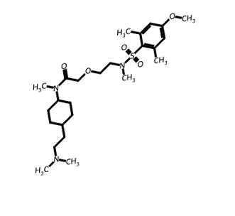 COc1cc(C)c(S(=O)(=O)N(C)CCOCC(=O)N(C)C2CCC(CCN(C)C)CC2)c(C)c1